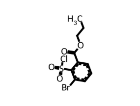 CCCOC(=O)c1cccc(Br)c1S(=O)(=O)Cl